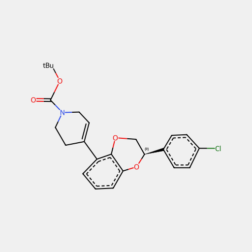 CC(C)(C)OC(=O)N1CC=C(c2cccc3c2OC[C@@H](c2ccc(Cl)cc2)O3)CC1